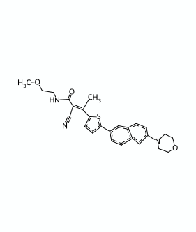 COCCNC(=O)/C(C#N)=C(\C)c1ccc(-c2ccc3cc(N4CCOCC4)ccc3c2)s1